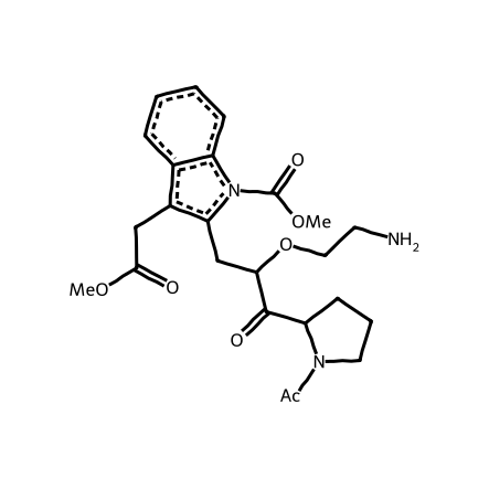 COC(=O)Cc1c(CC(OCCN)C(=O)C2CCCN2C(C)=O)n(C(=O)OC)c2ccccc12